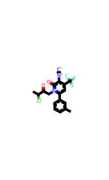 [C-]#[N+]c1c(C(F)(F)F)cc(-c2cccc(C)c2)n(CC(=O)C(C)Cl)c1=O